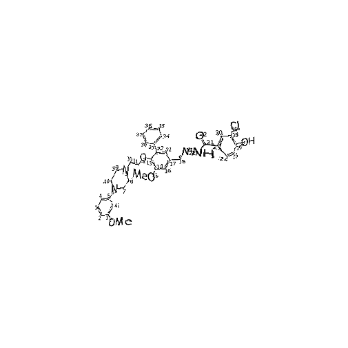 COc1cccc(N2CCN(CCOc3c(OC)cc(/C=N/NC(=O)c4ccc(O)c(Cl)c4)cc3-c3ccccc3)CC2)c1